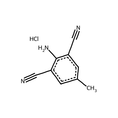 Cc1cc(C#N)c(N)c(C#N)c1.Cl